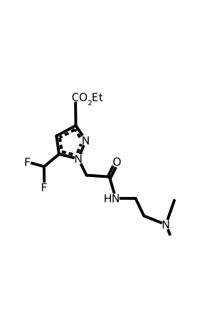 CCOC(=O)c1cc(C(F)F)n(CC(=O)NCCN(C)C)n1